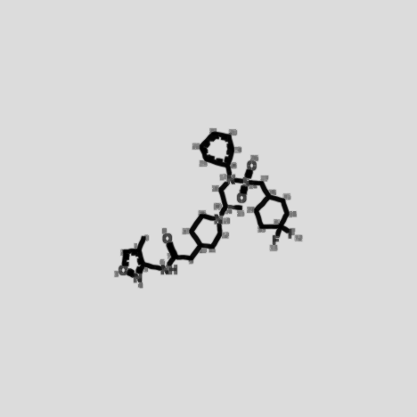 Cc1conc1NC(=O)CC1CCN([C@H](C)CN(c2ccccc2)S(=O)(=O)CC2CCC(F)(F)CC2)CC1